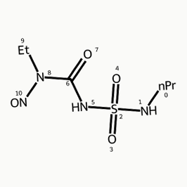 CCCNS(=O)(=O)NC(=O)N(CC)N=O